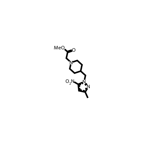 COC(=O)CN1CCC(Cn2nc(C)cc2[N+](=O)[O-])CC1